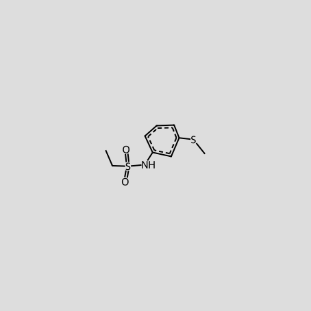 CCS(=O)(=O)Nc1cccc(SC)c1